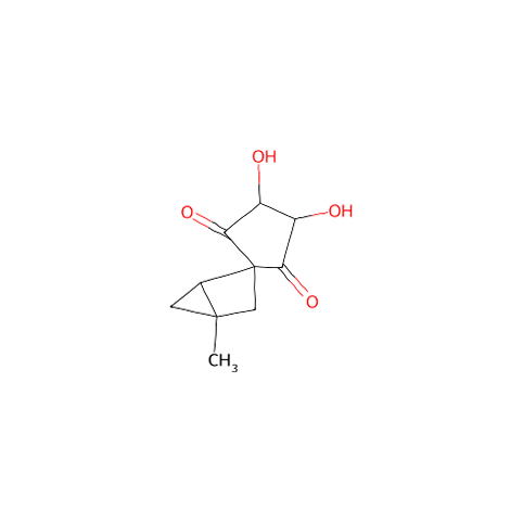 CC12CC1C1(C2)C(=O)C(O)C(O)C1=O